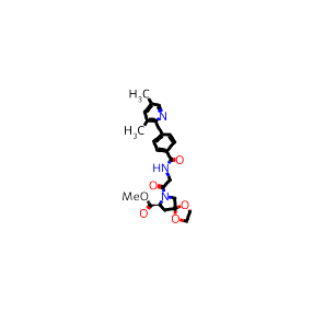 COC(=O)[C@@H]1CC2(CN1C(=O)CNC(=O)c1ccc(-c3ncc(C)cc3C)cc1)OCCO2